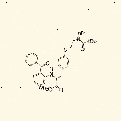 CCCN(CCOc1ccc(CC(Nc2ccccc2C(=O)c2ccccc2)C(=O)OC)cc1)C(=O)C(C)(C)C